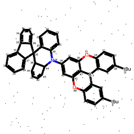 CC(C)(C)c1ccc2c(c1)B1c3cc(C(C)(C)C)ccc3Oc3cc(N4c5ccccc5C5(c6ccccc6-c6ccccc65)C5C=CC=CC54)cc(c31)O2